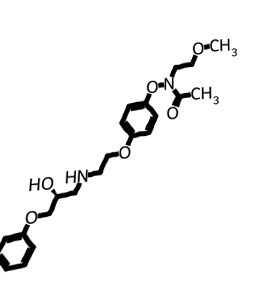 COCCN(Oc1ccc(OCCNC[C@H](O)COc2ccccc2)cc1)C(C)=O